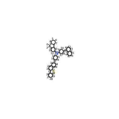 CC1(C)c2ccccc2-c2cc(N(c3ccc(-c4ccc5c(ccc6c7ccccc7sc56)c4)cc3)c3ccc(-c4cccc5ccccc45)cc3)ccc21